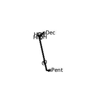 CCCCC/C=C\C/C=C\CCCCCCCC(=O)OCCCCCCCCCCCCCCCCCCCCCCCCCCCC(=O)NC(CO)C(O)C(O)CCCCCCCCCCCCCC